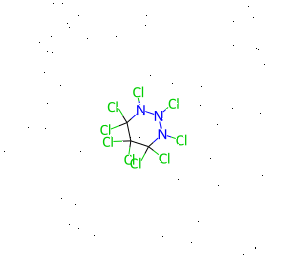 ClN1N(Cl)C(Cl)(Cl)C(Cl)(Cl)C(Cl)(Cl)N1Cl